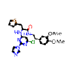 COc1ccc(CCNC(=O)C(Cc2cccs2)Nc2cc(Cl)nc(-n3ccnc3)n2)cc1OC